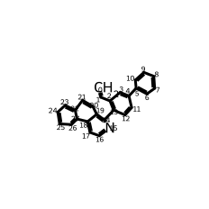 C=Cc1cc(-c2ccccc2)ccc1-c1nccc2c1ccc1ccccc12